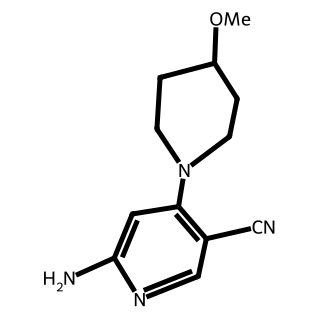 COC1CCN(c2cc(N)ncc2C#N)CC1